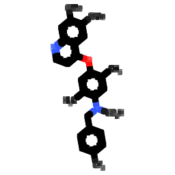 COc1cc2nccc(Oc3cc(C)c(N(Cc4ccc(C(F)(F)F)cc4)C(=O)O)cc3C)c2cc1OC